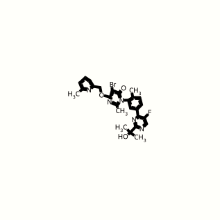 Cc1cccc(COc2nc(C)n(-c3cc(-c4nc(C(C)(C)O)ncc4F)ccc3C)c(=O)c2Br)n1